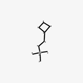 C[Si](C)(C)CCC1CCC1